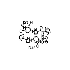 O=C(Nc1ncns1)c1ccn(C2=CC3CN(C2)C(=O)N3OS(=O)(=O)O)n1.O=C1N2CC(C=CC2n2ccc(-c3ncco3)n2)N1OS(=O)(=O)[O-].[Na+]